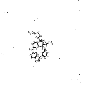 C=CC(=O)Nc1cc(Nc2ncc3onc(-c4cccc(F)c4)c3n2)ccc1N(C)C1CCN(C)C1